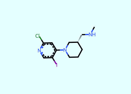 CNC[C@@H]1CCCN(c2cc(Cl)ncc2I)C1